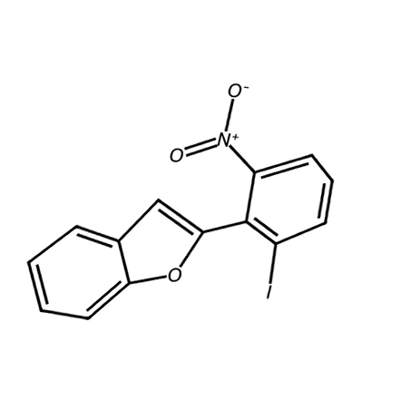 O=[N+]([O-])c1cccc(I)c1-c1cc2ccccc2o1